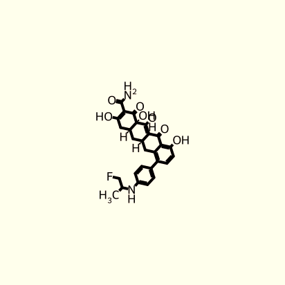 CC(CF)Nc1ccc(-c2ccc(O)c3c2C[C@H]2C[C@H]4CC(O)=C(C(N)=O)C(=O)[C@@]4(O)C(O)=C2C3=O)cc1